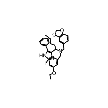 CCCCC(c1nc(I)[nH]c1-c1ccccc1)N(Cc1cccc(OCC)c1)Cc1ccc2c(c1)OCO2